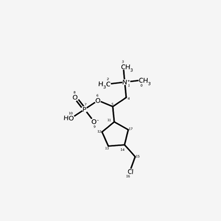 C[N+](C)(C)CC(OP(=O)([O-])O)C1CCC(CCl)C1